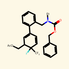 CCN(Cc1ccccc1C1=CC(COC(C)=O)C(F)(C(F)(F)F)C=C1)C(=O)OCc1ccccc1